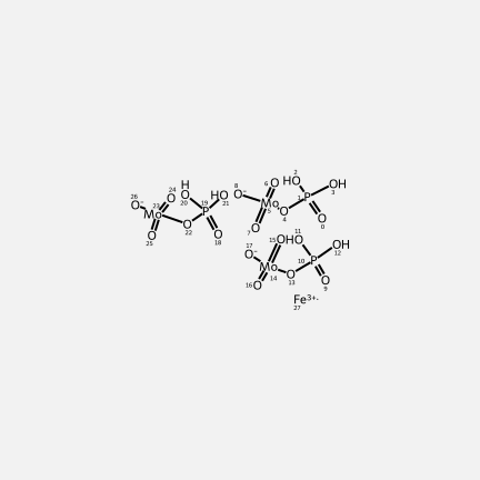 O=P(O)(O)[O][Mo](=[O])(=[O])[O-].O=P(O)(O)[O][Mo](=[O])(=[O])[O-].O=P(O)(O)[O][Mo](=[O])(=[O])[O-].[Fe+3]